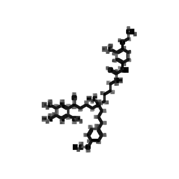 CCOc1ccc(NC(=O)NCCCC[N+](C)(CCCC(=O)c2nc(C)c(N)nc2C)CCCc2ccc(OC)cc2)cc1C